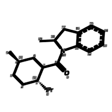 CC(C)[C@@H]1CC[C@@H](C)CC1C(=O)N1c2ccccc2CC1C